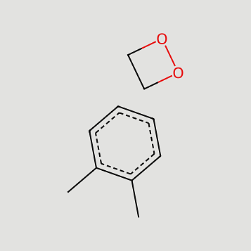 C1COO1.Cc1ccccc1C